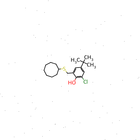 CC(C)(C)c1cc(Cl)c(O)c(CSC2CCCCCCC2)c1